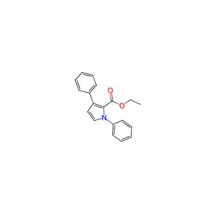 CCOC(=O)c1c(-c2ccccc2)ccn1-c1ccccc1